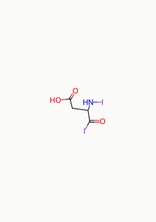 O=C(O)CC(NI)C(=O)I